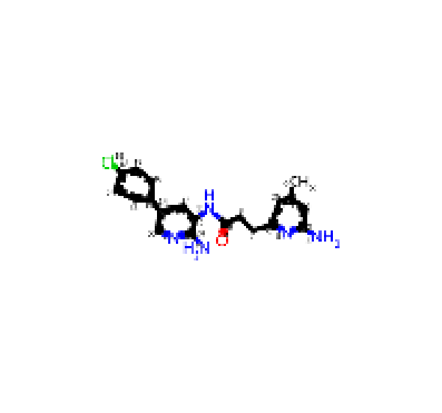 Cc1cc(N)nc(CCC(=O)Nc2cc(-c3ccc(Cl)cc3)cnc2N)c1